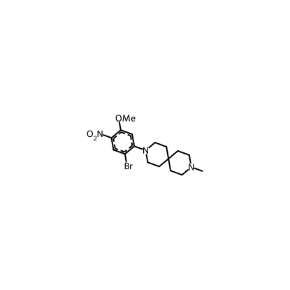 COc1cc(N2CCC3(CCN(C)CC3)CC2)c(Br)cc1[N+](=O)[O-]